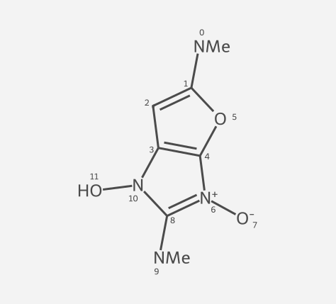 CNc1cc2c(o1)[n+]([O-])c(NC)n2O